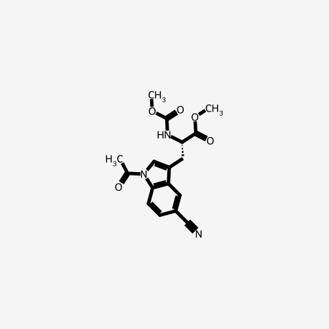 COC(=O)N[C@@H](Cc1cn(C(C)=O)c2ccc(C#N)cc12)C(=O)OC